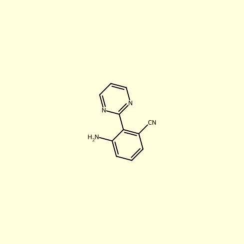 N#Cc1cccc(N)c1-c1ncccn1